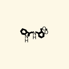 c1cc(CNCc2c[nH]c3ccccc23)c2c(c1)OCOC2